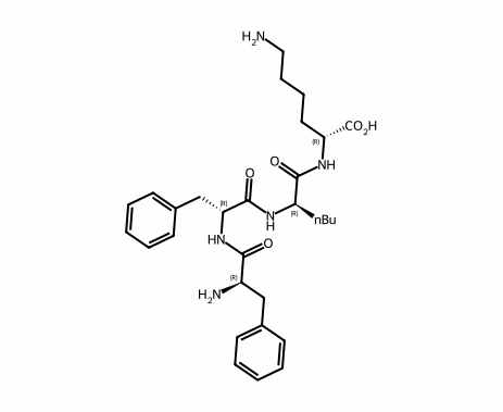 CCCC[C@@H](NC(=O)[C@@H](Cc1ccccc1)NC(=O)[C@H](N)Cc1ccccc1)C(=O)N[C@H](CCCCN)C(=O)O